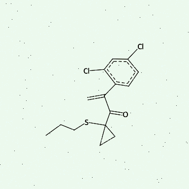 C=C(C(=O)C1(SCCC)CC1)c1ccc(Cl)cc1Cl